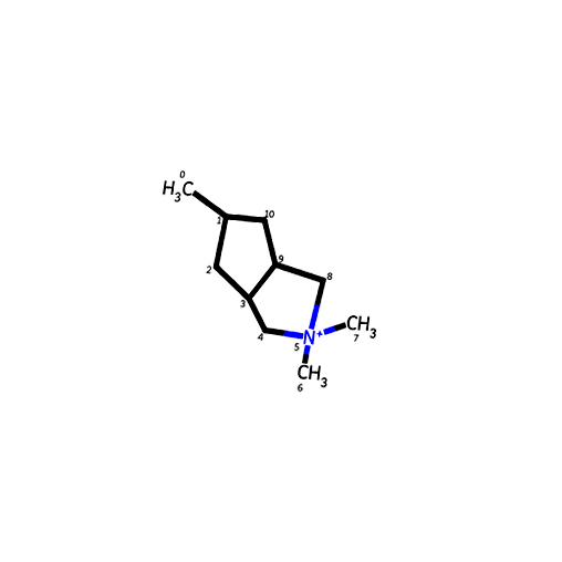 CC1CC2C[N+](C)(C)CC2C1